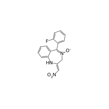 O=[N+]([O-])C=C1C[N+]([O-])=C(c2ccccc2F)c2ccccc2N1